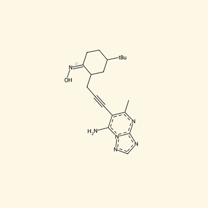 Cc1nc2ncnn2c(N)c1C#CCC1CC(C(C)(C)C)CC/C1=N/O